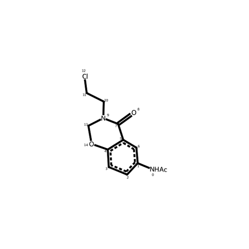 CC(=O)Nc1ccc2c(c1)C(=O)N(CCCl)CO2